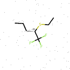 CCC[C@H](SCC)C(F)(F)F